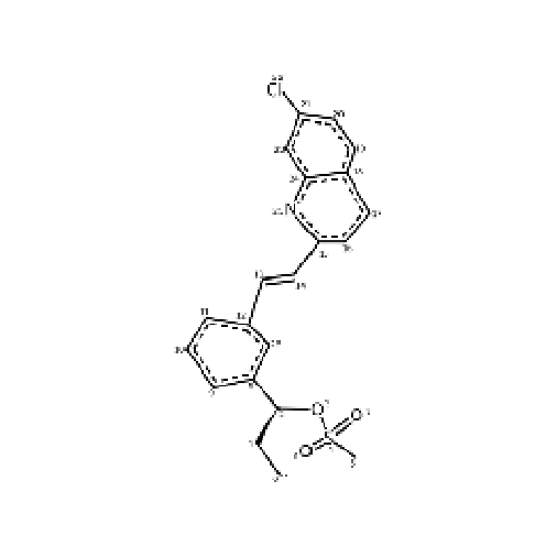 [CH2]C[C@H](OS(C)(=O)=O)c1cccc(C=Cc2ccc3ccc(Cl)cc3n2)c1